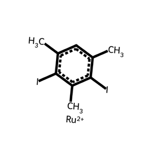 Cc1cc(C)c(I)c(C)c1I.[Ru+2]